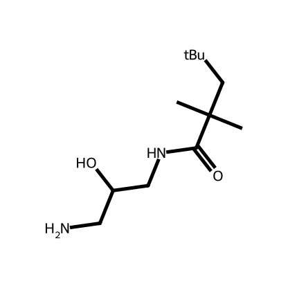 CC(C)(C)CC(C)(C)C(=O)NCC(O)CN